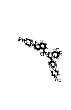 CC(=O)N1CCN(c2ncc(C(CNC(=O)c3cccc4nc(N5CCN(C(C)C)CC5)ccc34)N3CCC(F)(F)CC3)cn2)CC1